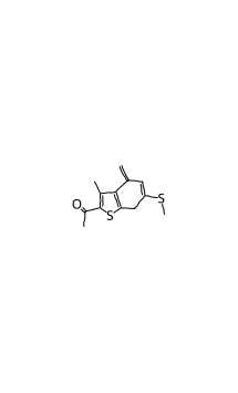 C=C1C=C(SC)Cc2sc(C(C)=O)c(C)c21